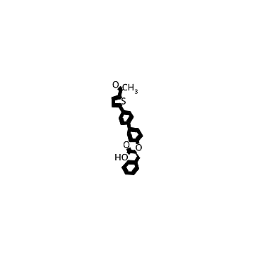 CC(=O)c1ccc(-c2ccc(-c3ccc(O[C@@H](Cc4ccccc4)C(=O)O)cc3)cc2)s1